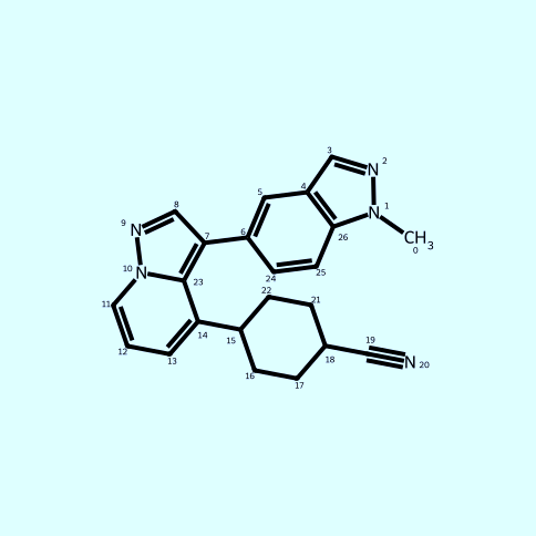 Cn1ncc2cc(-c3cnn4cccc(C5CCC(C#N)CC5)c34)ccc21